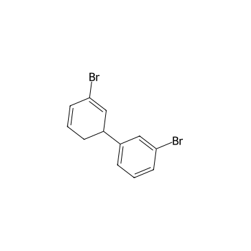 BrC1=CC(c2cccc(Br)c2)CC=C1